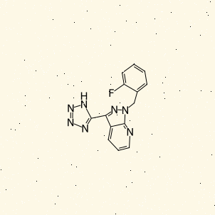 Fc1ccccc1Cn1nc(-c2nnn[nH]2)c2cccnc21